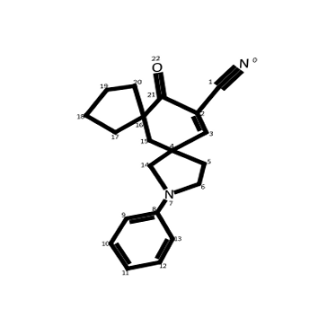 N#CC1=CC2(CCN(c3ccccc3)C2)CC2(CCCC2)C1=O